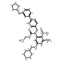 CCOC(=O)N(Cc1ccc(-c2cccc(CN3CCCC3)c2)nc1)c1cc(OCC2CCOCC2)nc(N)c1[N+](=O)[O-]